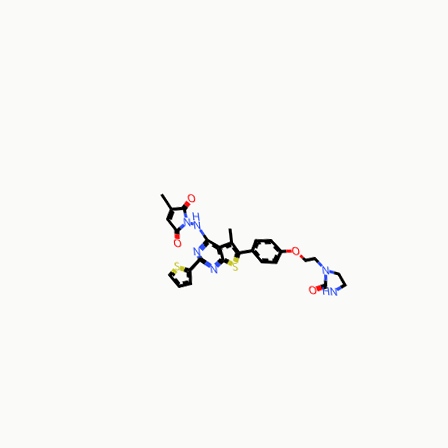 CC1=CC(=O)N(Nc2nc(-c3cccs3)nc3sc(-c4ccc(OCCN5CCNC5=O)cc4)c(C)c23)C1=O